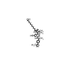 Cc1ncsc1-c1ccc(C(C)NC(=O)[C@@H]2C[C@@H](O)CN2C(=O)C(NC(=O)CCCCCCCCCCCO)C(C)(C)C)cc1